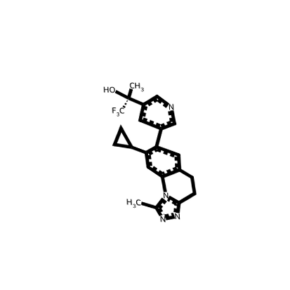 Cc1nnc2n1-c1cc(C3CC3)c(-c3cncc([C@](C)(O)C(F)(F)F)c3)cc1CC2